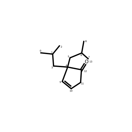 CC(C)CC1(CC(C)C)C=CCC1=O